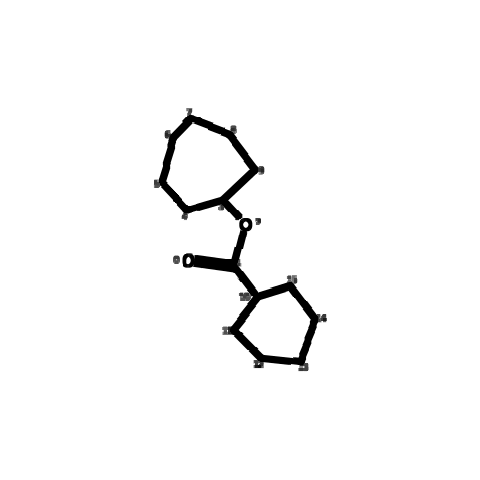 O=C(OC1CCCCCC1)C1CCCCC1